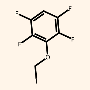 Fc1cc(F)c(F)c(OCI)c1F